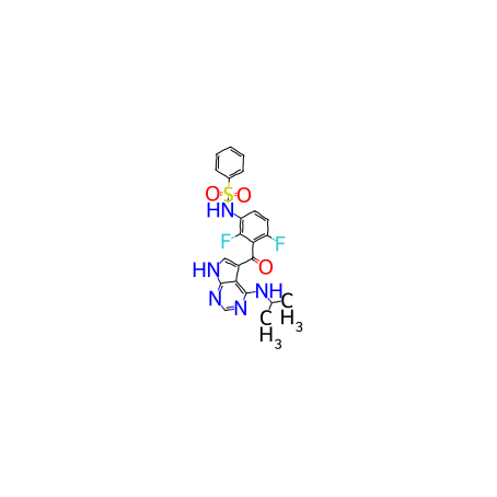 CC(C)Nc1ncnc2[nH]cc(C(=O)c3c(F)ccc(NS(=O)(=O)c4ccccc4)c3F)c12